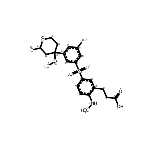 CNc1ccc(S(=O)(=O)c2cc(F)cc(C3(OC)CCOC(C)C3)c2)cc1CCC(=O)O